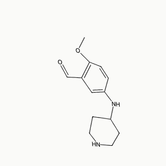 COc1ccc(NC2CCNCC2)cc1C=O